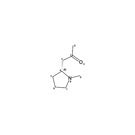 CC(=O)C[C@H]1CCCN1C